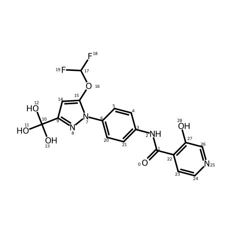 O=C(Nc1ccc(-n2nc(C(O)(O)O)cc2OC(F)F)cc1)c1ccncc1O